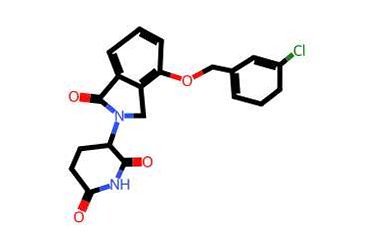 O=C1CCC(N2Cc3c(OCC4=CCCC(Cl)=C4)cccc3C2=O)C(=O)N1